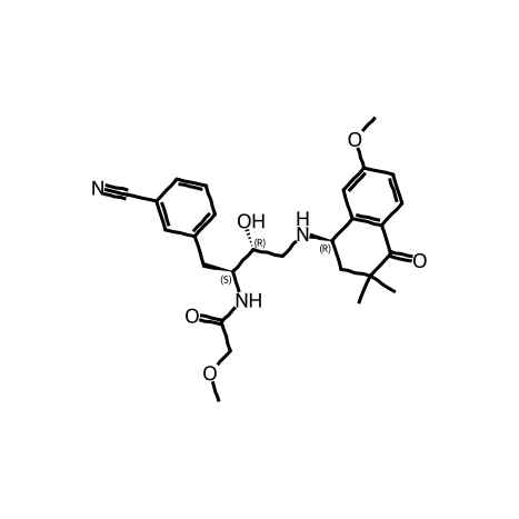 COCC(=O)N[C@@H](Cc1cccc(C#N)c1)[C@H](O)CN[C@@H]1CC(C)(C)C(=O)c2ccc(OC)cc21